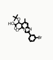 Cc1cc2nc(-c3cccc(Br)c3)cn2c(Cl)c1C(OC(C)(C)C)C(=O)O